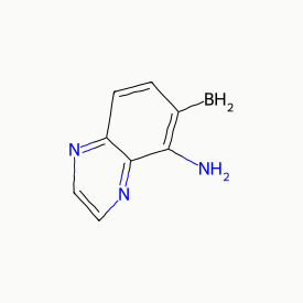 Bc1ccc2nccnc2c1N